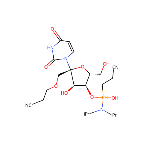 CC(C)N(C(C)C)[PH](O)(CCC#N)O[C@H]1[C@@H](O)[C@](COCCC#N)(n2ccc(=O)[nH]c2=O)O[C@@H]1CO